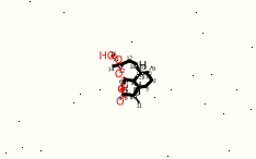 C[C@@H]1CC[C@@H]2C3[C@H](OC(=O)[C@@H]2C)OC(C)(OO)CC[C@H]31